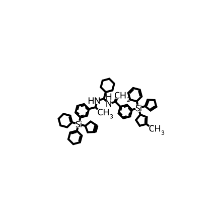 C=C(NC(NC(C)c1cccc([Si](C2=CCCC=C2)(C2=CCCCC2)C2CC#CC2)c1)C1CCCCC1)c1cccc([Si](C2=CCC=C2)(C2C=CC=CC2)C2C=C(C)CC2)c1